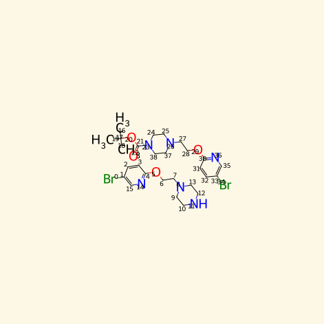 Brc1ccc(OCCN2CCNCC2)nc1.CC(C)(C)OC(=O)N1CCN(CCOc2ccc(Br)cn2)CC1